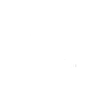 CC(C)(O)C#Cc1cccc2ccccc12